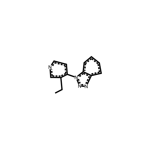 CCc1cnccc1-n1nnc2ccccc21